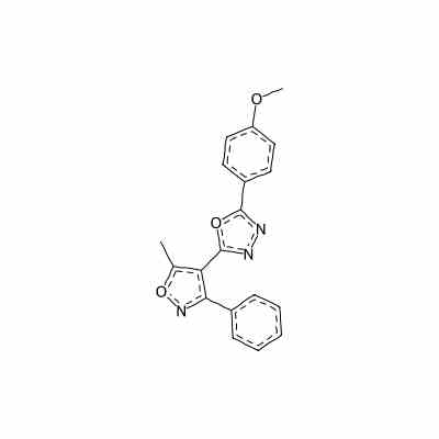 COc1ccc(-c2nnc(-c3c(-c4ccccc4)noc3C)o2)cc1